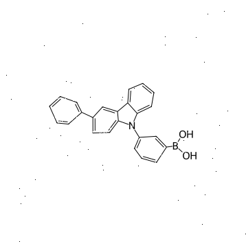 OB(O)c1cccc(-n2c3ccccc3c3cc(-c4ccccc4)ccc32)c1